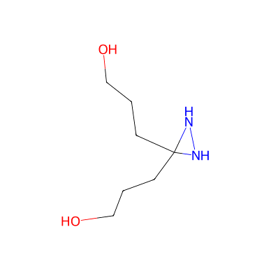 OCCCC1(CCCO)NN1